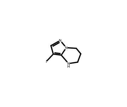 Ic1cnn2c1NCCC2